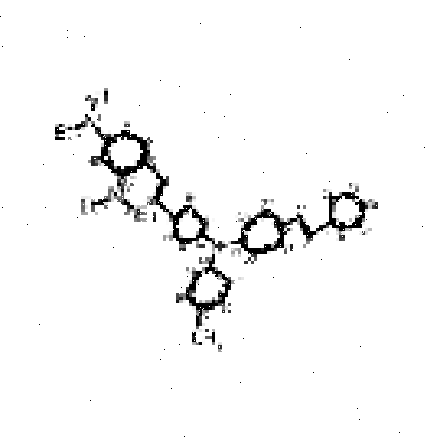 CCN(CC)c1ccc(C=Cc2ccc(N(c3ccc(C)cc3)c3ccc(C=Cc4ccccc4)cc3)cc2)c(N(CC)CC)c1